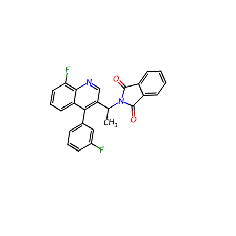 CC(c1cnc2c(F)cccc2c1-c1cccc(F)c1)N1C(=O)c2ccccc2C1=O